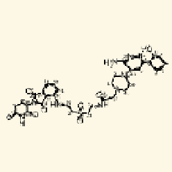 Nc1nnc(-c2ccccc2O)cc1N1CCN(CC(=O)NCCS(=O)(=O)CCNc2cccc3c2C(=O)N(C2CCC(=O)NC2=O)C3=O)CC1